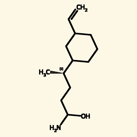 C=CC1CCCC([C@@H](C)CCC(N)O)C1